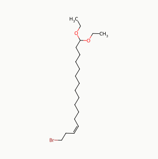 CCOC(CCCCCCCCCCC/C=C\CCBr)OCC